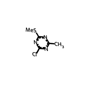 CSc1nc(C)nc(Cl)n1